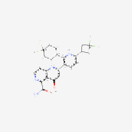 NC(=O)c1nccc2[nH]c(-c3ccc(C4CC(F)(F)C4)nc3C3CCC(F)(F)CC3)cc(=O)c12